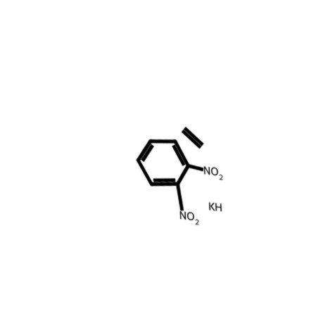 C=C.O=[N+]([O-])c1ccccc1[N+](=O)[O-].[KH]